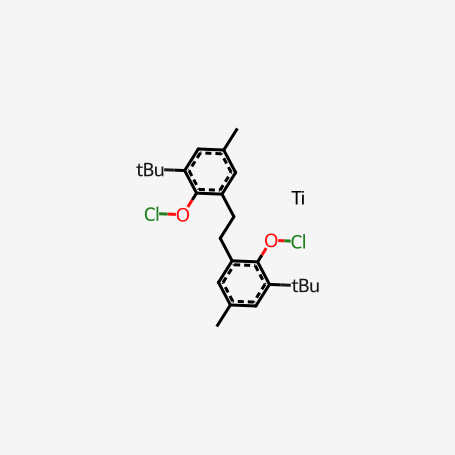 Cc1cc(CCc2cc(C)cc(C(C)(C)C)c2OCl)c(OCl)c(C(C)(C)C)c1.[Ti]